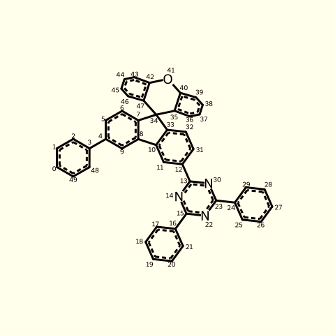 c1ccc(-c2ccc3c(c2)-c2cc(-c4nc(-c5ccccc5)nc(-c5ccccc5)n4)ccc2C32c3ccccc3Oc3ccccc32)cc1